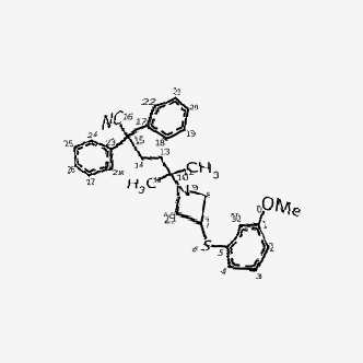 COc1cccc(SC2CN(C(C)(C)CCC(C#N)(c3ccccc3)c3ccccc3)C2)c1